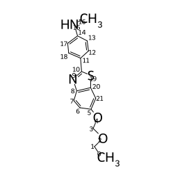 CCOCOc1ccc2nc(-c3ccc(NC)cc3)sc2c1